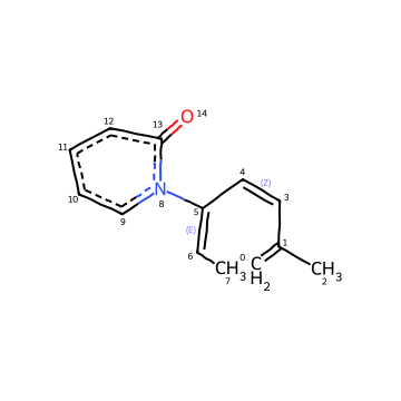 C=C(C)/C=C\C(=C/C)n1ccccc1=O